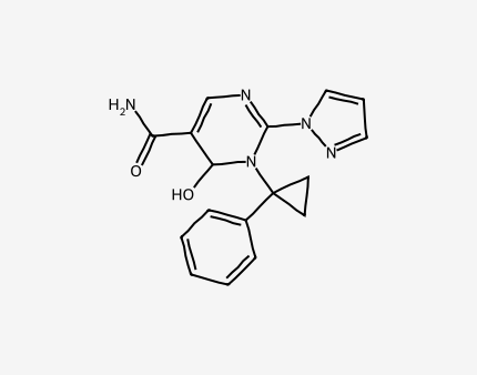 NC(=O)C1=CN=C(n2cccn2)N(C2(c3ccccc3)CC2)C1O